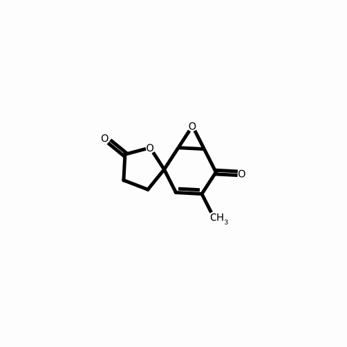 CC1=CC2(CCC(=O)O2)C2OC2C1=O